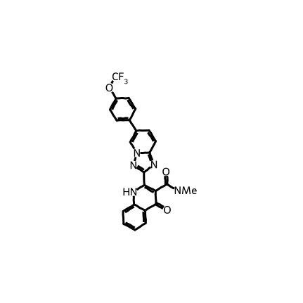 CNC(=O)c1c(-c2nc3ccc(-c4ccc(OC(F)(F)F)cc4)cn3n2)[nH]c2ccccc2c1=O